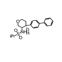 CC(C)S(=O)(=O)N[C@H]1COCC[C@@]1(O)c1ccc(-c2ccccc2)cc1